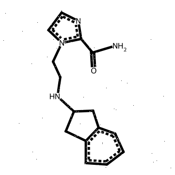 NC(=O)c1n[c]cn1CCNC1Cc2ccccc2C1